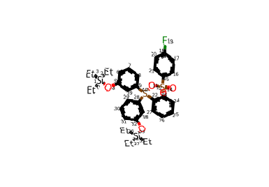 CC[Si](CC)(CC)Oc1cccc(S(OS(=O)(=O)c2ccc(F)cc2)(c2ccccc2)c2cccc(O[Si](CC)(CC)CC)c2)c1